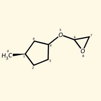 C[C@@H]1CCC(OC2CO2)C1